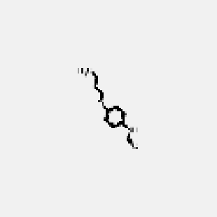 CCCCOc1ccc(NC=O)cc1